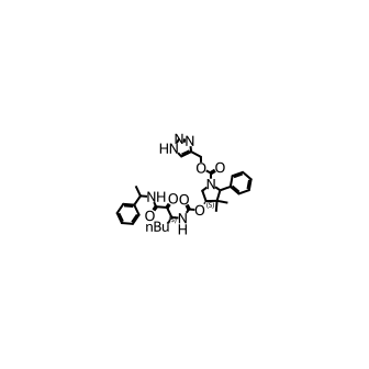 CCCC[C@H](NC(=O)O[C@@H]1CN(C(=O)OCc2c[nH]nn2)C(c2ccccc2)C1(C)C)C(=O)C(=O)NC(C)c1ccccc1